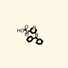 O=C(O)N(Cl)c1cncc(N=C(c2ccccc2)c2ccccc2)c1